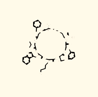 CC(C)[C@@H]1NC(=O)[C@H](Cc2ccccc2)NC(=O)[C@@H](N)CSSC[C@@H](C(=O)O)NC(=O)[C@H](Cc2ccccc2)NC(=O)[C@H]([C@@H](C)O)NC(=O)[C@H](CCCCN)NC(=O)[C@@H](Cc2c[nH]c3ccccc23)NC1=O